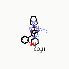 Nc1nnc(-c2ccccc2O)cc1N1CC2CCC(C1)N2c1ncc(C2=CCC(C(=O)O)CC2)cn1